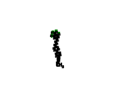 CCCCC[SiH]1CCC(C2CCC(CCCCc3cc(F)c(C(F)F)c(F)c3)CC2)CC1